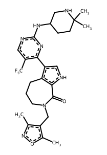 Cc1noc(C)c1CN1CCCc2c(-c3nc(NC4CCC(C)(C)NC4)ncc3C(F)(F)F)c[nH]c2C1=O